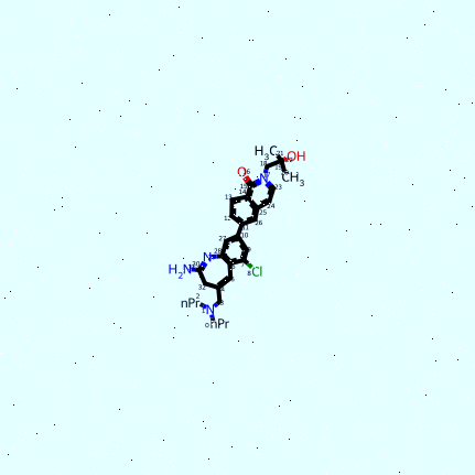 CCCN(CCC)CC1=Cc2c(Cl)cc(-c3ccc4c(=O)n(CC(C)(C)O)ccc4c3)cc2N=C(N)C1